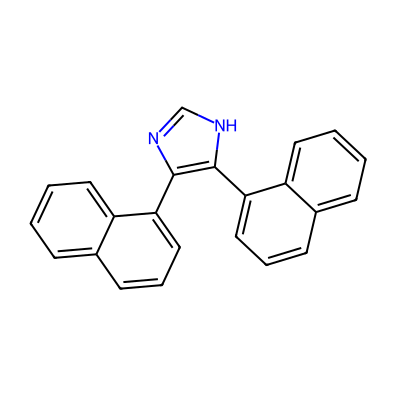 c1ccc2c(-c3nc[nH]c3-c3cccc4ccccc34)cccc2c1